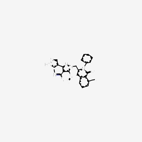 C=Nc1c(/C(N)=N\C)c(-c2cn[nH]c2)nn1Cc1cc2cccc(C)c2c(=O)n1-c1ccccc1